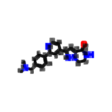 CN(C)Cc1ccc(-c2cc(-c3cc4n(n3)CCNC4=O)ccn2)cc1